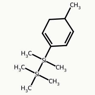 CC1C=CC([Si](C)(C)[Si](C)(C)C)=CC1